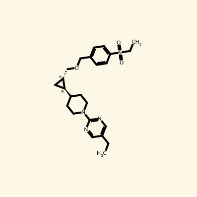 CCc1cnc(N2CCC([C@H]3C[C@@H]3COCc3ccc(S(=O)(=O)CC)cc3)CC2)nc1